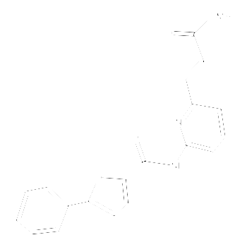 COC(=O)/C=C/c1cccc(NC(=O)c2ccc(-c3ccccc3)o2)n1